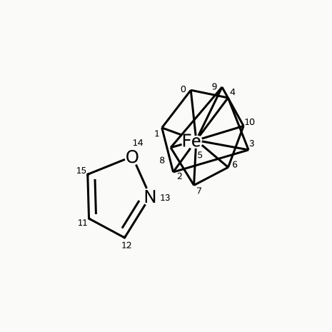 [CH]12[CH]3[CH]4[CH]5[CH]1[Fe]23451678[CH]2[CH]1[CH]6[CH]7[CH]28.c1cnoc1